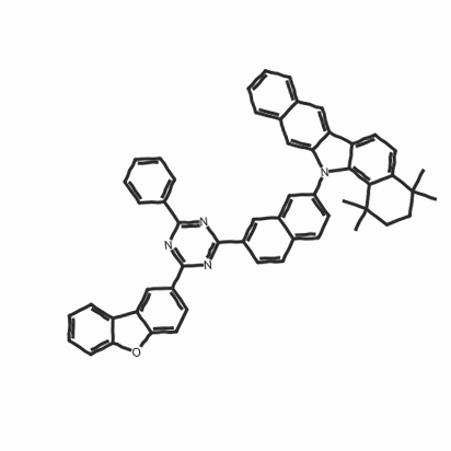 CC1(C)CCC(C)(C)c2c1ccc1c3cc4ccccc4cc3n(-c3ccc4ccc(-c5nc(-c6ccccc6)nc(-c6ccc7oc8ccccc8c7c6)n5)cc4c3)c21